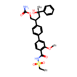 CC(C)CS(=O)(=O)NC(=O)c1ccc(-c2ccc(C(COC(N)=O)C[C@](O)(c3ccccc3)C(C)(C)C)cc2)cc1OC(C)C